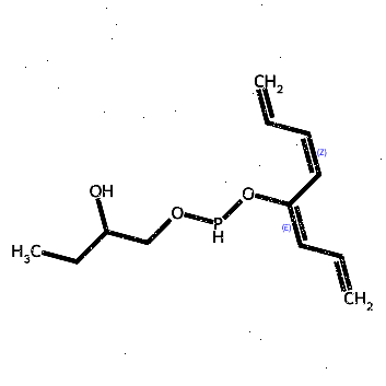 C=C/C=C\C(=C/C=C)OPOCC(O)CC